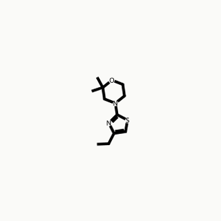 CCc1csc(N2CCOC(C)(C)C2)n1